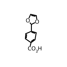 O=C(O)c1ccc(C2OC=CO2)cc1